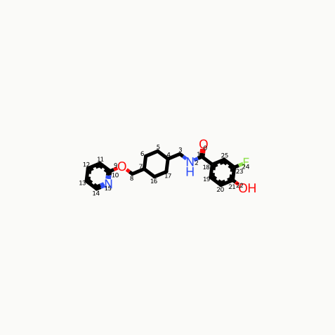 O=C(NCC1CCC(COc2ccccn2)CC1)c1ccc(O)c(F)c1